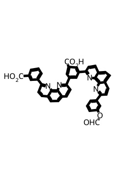 O=COc1cccc(-c2ccc3ccc4ccc(-c5cc(C(=O)O)cc(-c6ccc7ccc8ccc(-c9cccc(C(=O)O)c9)nc8c7n6)c5)nc4c3n2)c1